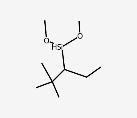 CCC([SiH](OC)OC)C(C)(C)C